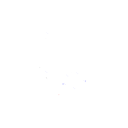 CC(=O)N(CC#Cc1cccc(C(N)=O)c1)C[C@H]1O[C@@H](n2cnc3c(N)ncnc32)[C@H](O)[C@@H]1O